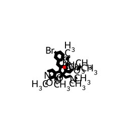 CCOc1cc(C(O)(CCN(C)C)C(c2cc3cc(Br)ccc3nc2OC)c2ccnc(OC)c2OC)cc(OC(C)C)n1